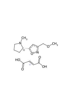 COCc1cc([C@@H]2CCCN2C)on1.O=C(O)/C=C/C(=O)O